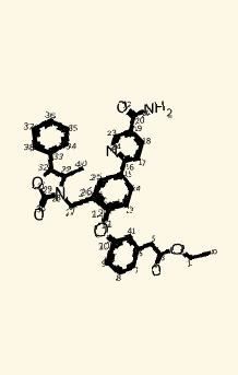 CCOC(=O)Cc1cccc(Oc2ccc(-c3ccc(C(N)=O)cn3)cc2CN2C(=O)OC(c3ccccc3)C2C)c1